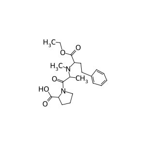 CCOC(=O)C(CCc1ccccc1)N(C)C(C)C(=O)N1CCCC1C(=O)O